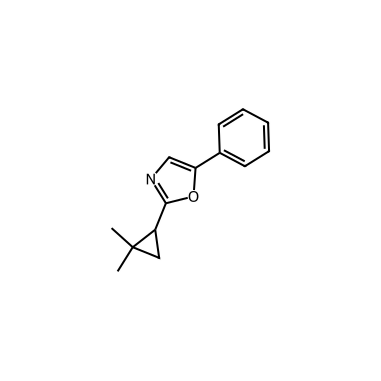 CC1(C)CC1c1ncc(-c2ccccc2)o1